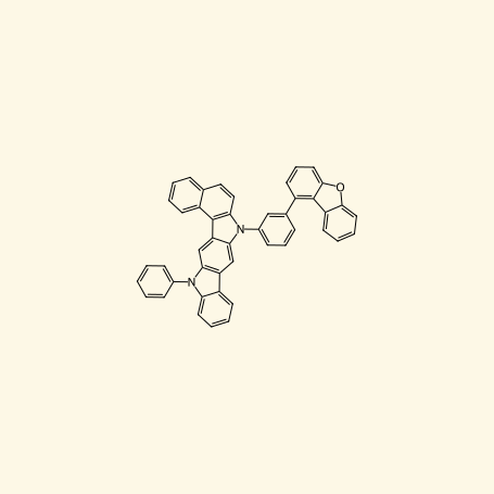 c1ccc(-n2c3ccccc3c3cc4c(cc32)c2c3ccccc3ccc2n4-c2cccc(-c3cccc4oc5ccccc5c34)c2)cc1